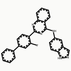 Fc1cc(-c2ccccc2)ccc1-c1nc(Nc2ccc3[nH]ncc3c2)c2ccccc2n1